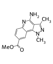 COC(=O)c1ccc2nc(N)c3c(C)nn(C)c3c2c1